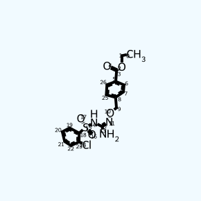 CCOC(=O)c1ccc(CON=C(N)NS(=O)(=O)c2ccccc2Cl)cc1